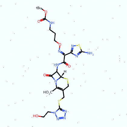 CC(C)(C)OC(=O)NCCCON=C(C(=O)NC1C(=O)N2C(C(=O)O)=C(CSc3nnnn3CCO)CS[C@@H]12)c1nsc(N)n1